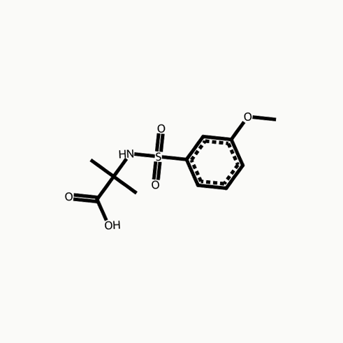 COc1cccc(S(=O)(=O)NC(C)(C)C(=O)O)c1